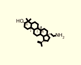 C=C(C)[C@@H]1CC[C@]2(CCN)CC[C@]3(C)C(CCC4[C@@]5(C)CC[C@H](O)C(C)(C)C5CC[C@]43C)C12